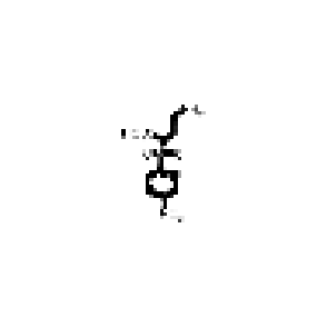 NCCC(C(=O)O)S(=O)(=O)c1ccc([N+](=O)[O-])cc1